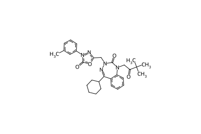 Cc1cccc(-n2nc(CN3N=C(C4CCCCC4)c4ccccc4N(CC(=O)C(C)(C)C)C3=O)oc2=O)c1